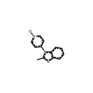 Cc1nc2ccccc2n1-c1cc[n+]([O-])cc1